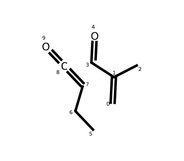 C=C(C)C=O.CCC=C=O